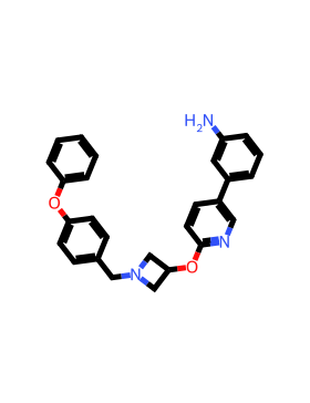 Nc1cccc(-c2ccc(OC3CN(Cc4ccc(Oc5ccccc5)cc4)C3)nc2)c1